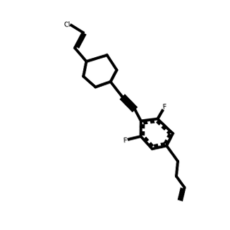 C=CCCc1cc(F)c(C#CC2CCC(/C=C/Cl)CC2)c(F)c1